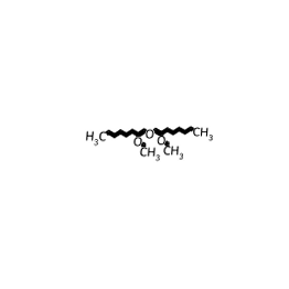 CCCCCCC(=COC=C(CCCCCC)OCC)OCC